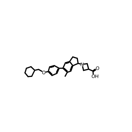 Cc1cc2c(cc1-c1ccc(OCC3CCCCC3)cc1)CCC2N1CC(C(=O)O)C1